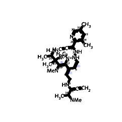 C=C=C(NN\C=C/C(=C\CNC(=C=C)C(C)NC)C(/N=C)=C(\NC)C(C)(CC)C(C)N)c1ncc(C)cc1C